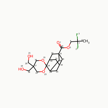 CC(F)(F)COC(=O)C12CC3CC(C1)C1(OCC(CO)(CO)CO1)C(C3)C2